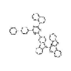 c1ccc(-c2ccc(-c3nc(-c4ccc5c(c4)c4ccccc4n5-c4nc5ccccc5c5nc6ccccc6n45)nc(-c4cccc5ccccc45)n3)cc2)cc1